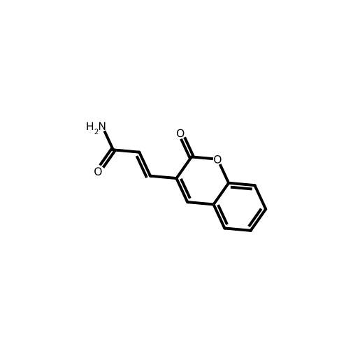 NC(=O)C=Cc1cc2ccccc2oc1=O